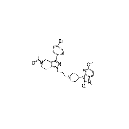 COc1ccc2c(n1)n(C1CCN(CCCn3nc(-c4ccc(Br)cc4)c4c3CCN(C(C)=O)C4)CC1)c(=O)n2C